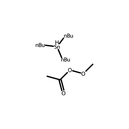 CCC[CH2][SnH]([CH2]CCC)[CH2]CCC.COOC(C)=O